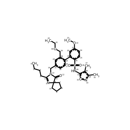 CCCCC1=NC2(CCCC2)C(=O)N1Cc1ccc(-c2cc(OC)ccc2S(=O)(=O)Nc2onc(C)c2C)c(COCC)c1